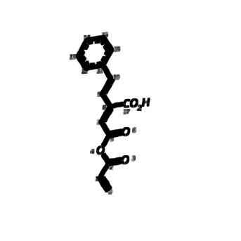 C=CC(=O)OC(=O)/C=C(/C=C/c1ccccc1)C(=O)O